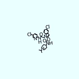 CC(C)N1CCC(NC(=O)Oc2cc3cc(Cl)ccc3n2CC(=O)Nc2ccc(Cl)cn2)CC1